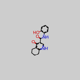 O=C(Nc1ccccc1O)c1c[nH]c2c(c1=O)CCCC2